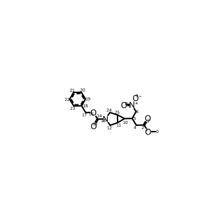 COC(=O)CC(C[N+](=O)[O-])C1C2CN(C(=O)OCc3ccccc3)CC21